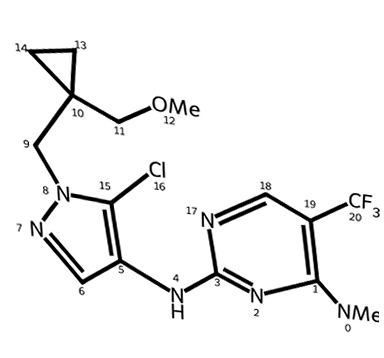 CNc1nc(Nc2cnn(CC3(COC)CC3)c2Cl)ncc1C(F)(F)F